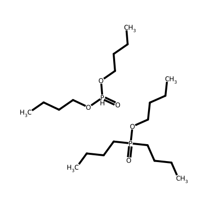 CCCCOP(=O)(CCCC)CCCC.CCCCO[PH](=O)OCCCC